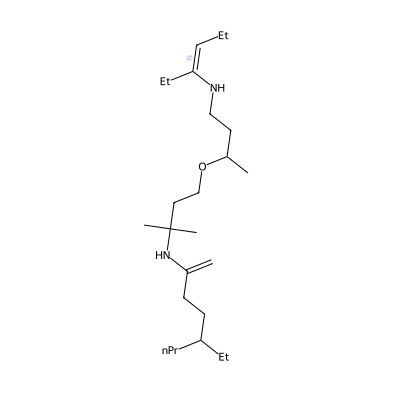 C=C(CCC(CC)CCC)NC(C)(C)CCOC(C)CCN/C(=C\CC)CC